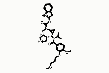 COCCCOc1cc(C(=O)N(C[C@@H]2CNC[C@H]2CN(C(=O)Oc2cc3ccccc3[nH]2)C2CC2)C(C)C)ccc1OC